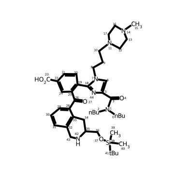 CCCCN(CCCC)C(=O)c1cn(CCCN2CCN(C)CC2)c(-c2ccc(C(=O)O)cc2C(=O)c2cccc3c2CC(CO[Si](C)(C)C(C)(C)C)NC3)n1